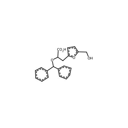 O=C(O)C(Cc1ccc(CO)o1)OC(c1ccccc1)c1ccccc1